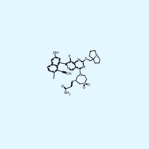 C#Cc1c(F)ccc2cc(O)cc(-c3ncc4c(N5CCS(=O)(=O)C[C@@H](C=CC(N)=O)C5)nc(OCC56CCCN5CCC6)nc4c3F)c12